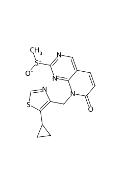 C[S+]([O-])c1ncc2ccc(=O)n(Cc3ncsc3C3CC3)c2n1